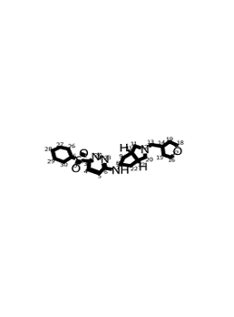 O=S(=O)(c1ccc(NC2C[C@@H]3CN(CC4CCOCC4)C[C@@H]3C2)nn1)C1CCCCC1